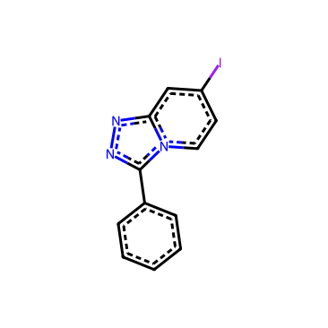 Ic1ccn2c(-c3ccccc3)nnc2c1